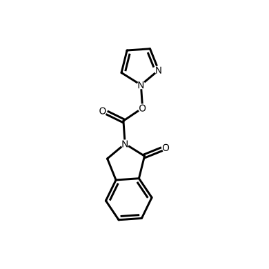 O=C(On1cccn1)N1Cc2ccccc2C1=O